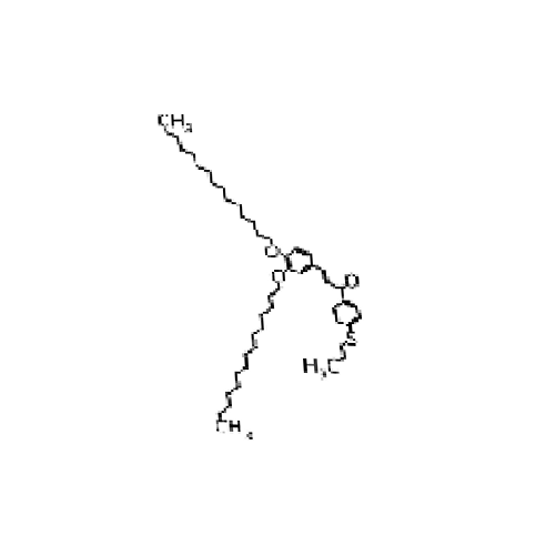 CCCCCCCCCCCCCCCOc1ccc(/C=C/C(=O)c2ccc(SCCC)cc2)cc1OCCCCCCCCCCCCCCC